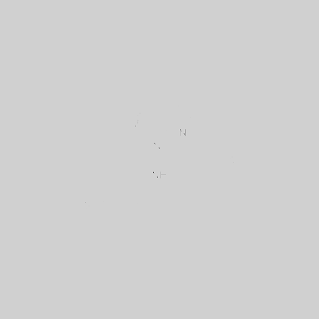 c1ccc2cc(C3=NC(c4c(-n5c6ccccc6c6cc7ccccc7cc65)c5c6ccccc6sc5c5ccccc45)NC(c4ccc5c(c4)sc4ccccc45)C3)ccc2c1